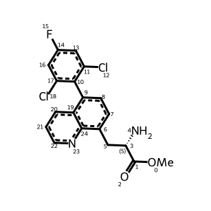 COC(=O)[C@@H](N)Cc1ccc(-c2c(Cl)cc(F)cc2Cl)c2cccnc12